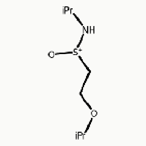 CC(C)N[S+]([O-])CCOC(C)C